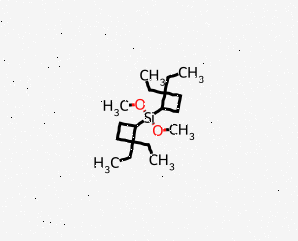 CCC1(CC)CCC1[Si](OC)(OC)C1CCC1(CC)CC